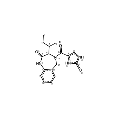 CCC(C)C1C(=O)Nc2ccccc2CN1C(=O)c1c[nH]c(=O)[nH]1